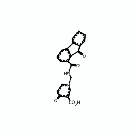 O=C(NCn1ccc(=O)c(C(=O)O)c1)c1cccc2c1C(=O)c1ccccc1-2